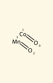 [O]=[Co].[O]=[Mn]